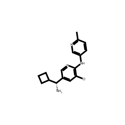 Cc1ccc(Nc2ncc([C@H](N)C3CCC3)cc2Cl)cn1